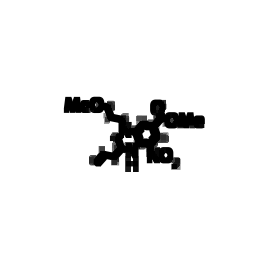 C=CCC1CN(CCCOC)c2cc(C(=O)OC)cc([N+](=O)[O-])c2N1